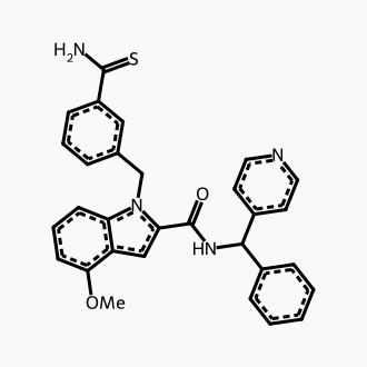 COc1cccc2c1cc(C(=O)NC(c1ccccc1)c1ccncc1)n2Cc1cccc(C(N)=S)c1